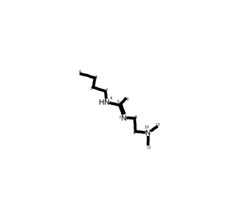 CCCCN/C(C)=N/CCN(C)C